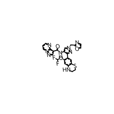 O=C(Nc1cn(Cc2ncco2)nc1-c1cc2c(cc1OC(F)F)NCCS2)c1cnn2cccnc12